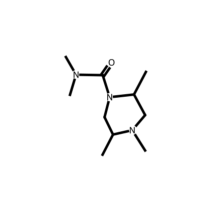 CC1CN(C(=O)N(C)C)C(C)CN1C